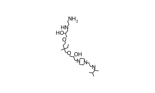 CCC(C)(CCOCC(O)CNCCN)COCC(O)CN1CCN(CCN=C(C)C(C)C)CC1